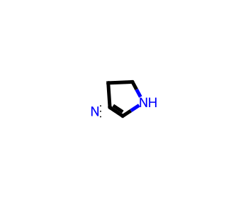 C1=CNCC1.[N]